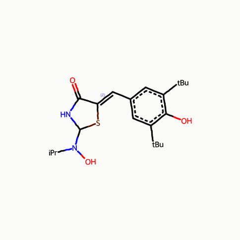 CC(C)N(O)C1NC(=O)/C(=C/c2cc(C(C)(C)C)c(O)c(C(C)(C)C)c2)S1